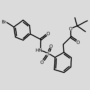 CC(C)(C)OC(=O)Cc1ccccc1S(=O)(=O)NC(=O)c1ccc(Br)cc1